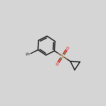 CC(C)c1cccc(S(=O)(=O)C2CC2)c1